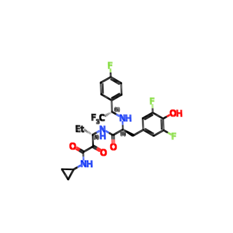 CC[C@H](NC(=O)[C@H](Cc1cc(F)c(O)c(F)c1)N[C@@H](c1ccc(F)cc1)C(F)(F)F)C(=O)C(=O)NC1CC1